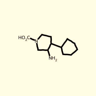 NC1CN(C(=O)O)CCC1C1CCCCC1